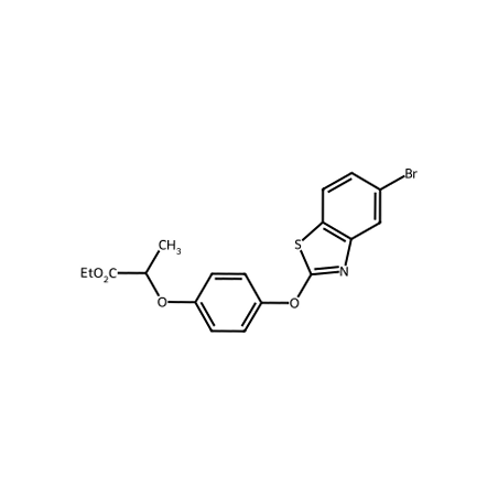 CCOC(=O)C(C)Oc1ccc(Oc2nc3cc(Br)ccc3s2)cc1